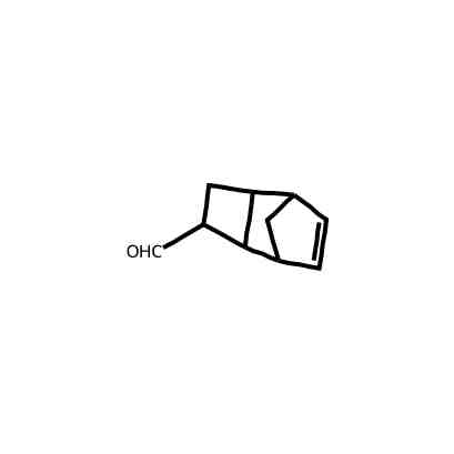 O=CC1CC2C3C=CC(C3)C12